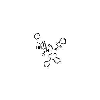 O=C(Cc1ccccc1)NC1C(=O)N2C(C(=O)OC(c3ccccc3)c3ccccc3)C(Sc3nc4ccccc4s3)=CS[C@H]12